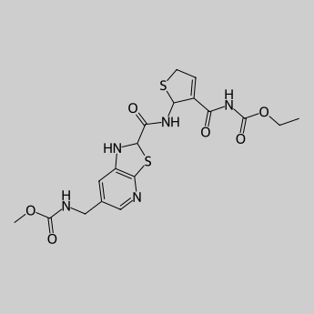 CCOC(=O)NC(=O)C1=CCSC1NC(=O)C1Nc2cc(CNC(=O)OC)cnc2S1